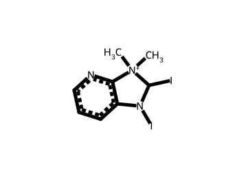 C[N+]1(C)c2ncccc2N(I)C1I